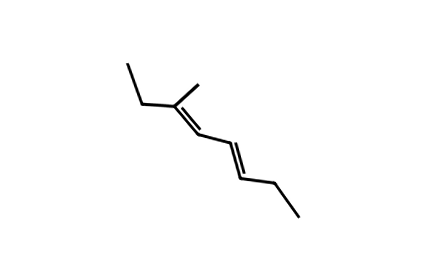 CC/C=C/C=C(\C)CC